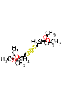 CCOC(C)(OCC)[SiH2]CCCSSSSCCC[SiH2]C(C)(OCC)OCC